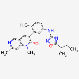 CCC(C)c1nc(Nc2ccc(C)c(-c3cc4cnc(C)cc4n(C)c3=O)c2)no1